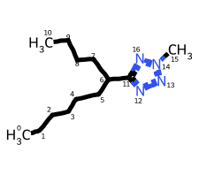 CCCCCCC(CCCC)c1nnn(C)n1